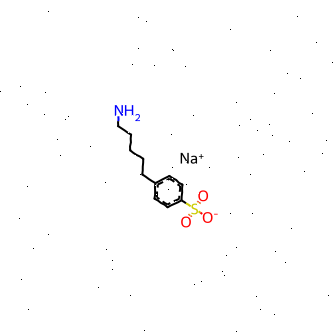 NCCCCCc1ccc(S(=O)(=O)[O-])cc1.[Na+]